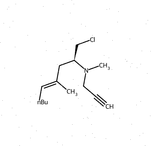 C#CCN(C)[C@H](CCl)C/C(C)=C/CCCC